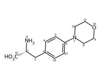 N[C@H](Cc1ccc(N2CCOCC2)cc1)C(=O)O